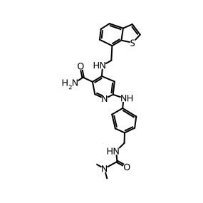 CN(C)C(=O)NCc1ccc(Nc2cc(NCc3cccc4ccsc34)c(C(N)=O)cn2)cc1